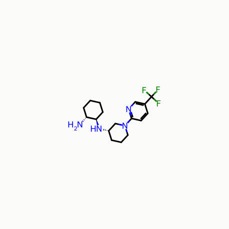 N[C@@H]1CCCC[C@H]1N[C@H]1CCCN(c2ccc(C(F)(F)F)cn2)C1